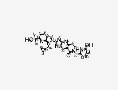 Cn1c(-c2cc3ccc(C(C)(C)O)nc3n2CC2CC2)nc2cc3c(nc21)CCN(C[C@@H](CF)NC(=O)O)C3=O